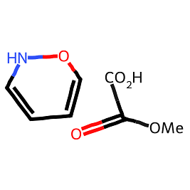 C1=CNOC=C1.COC(=O)C(=O)O